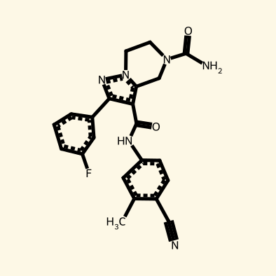 Cc1cc(NC(=O)c2c(-c3cccc(F)c3)nn3c2CN(C(N)=O)CC3)ccc1C#N